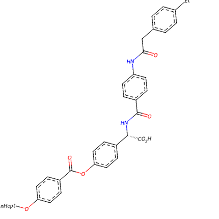 CCCCCCCOc1ccc(C(=O)Oc2ccc([C@H](NC(=O)c3ccc(NC(=O)Cc4ccc(CC)cc4)cc3)C(=O)O)cc2)cc1